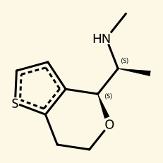 CN[C@@H](C)[C@H]1OCCc2sccc21